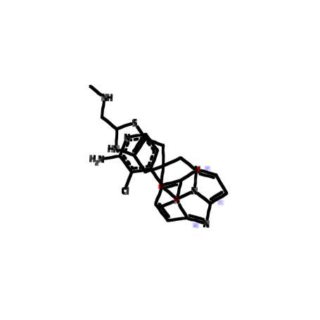 CNCC1NC2=C(CC3(CCN(C4=C\C=N/C5=C(c6ccnc(N)c6Cl)C=C\C(=N\4)N5C)CC3)C2)S1